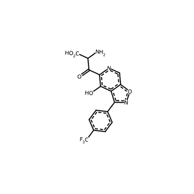 NC(C(=O)O)C(=O)c1ncc2onc(-c3ccc(C(F)(F)F)cc3)c2c1O